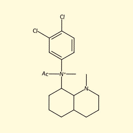 CC(=O)[N+](C)(c1ccc(Cl)c(Cl)c1)C1CCCC2CCCN(C)C21